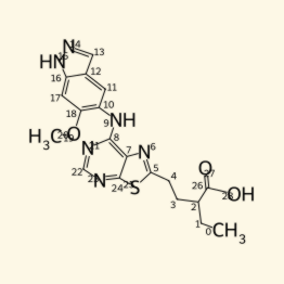 CCC(CCc1nc2c(Nc3cc4cn[nH]c4cc3OC)ncnc2s1)C(=O)O